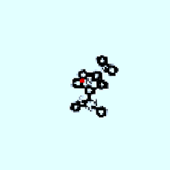 C1=CCC(c2cc(-c3nc(-c4ccccc4)nc4c3sc3ccccc34)cc(-c3ccccc3)c2-n2c3ccccc3c3cc(-n4c5ccccc5c5ccccc54)ccc32)C=C1